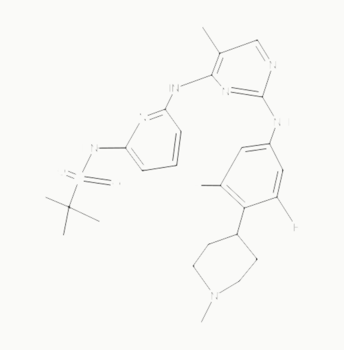 Cc1cnc(Nc2cc(F)c(C3CCN(C)CC3)c(F)c2)nc1Nc1cccc(NS(=O)(=O)C(C)(C)C)n1